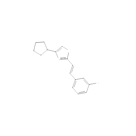 Nc1cccc(C=Cc2nc(C3CCCC3)cs2)c1